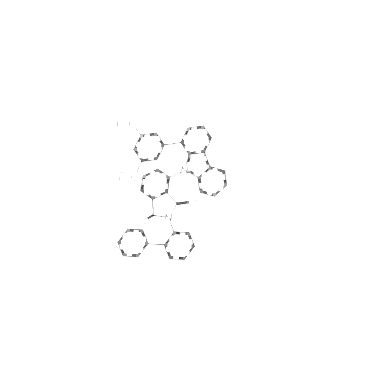 O=C1c2cccc(-n3c4ccccc4c4cccc(-c5cc(C(F)(F)F)cc(C(F)(F)F)c5)c43)c2C(=O)N1c1ccccc1-c1ccccc1